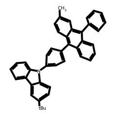 Cc1ccc2c(-c3ccc(-n4c5ccccc5c5cc(C(C)(C)C)ccc54)cc3)c3ccccc3c(-c3ccccc3)c2c1